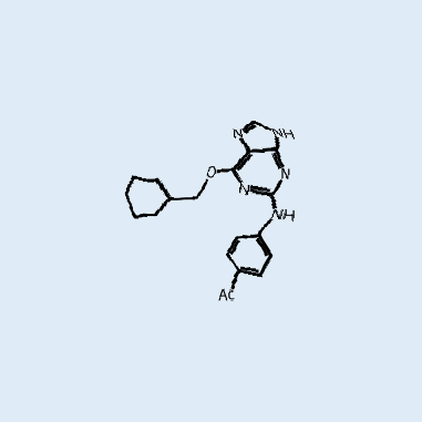 CC(=O)c1ccc(Nc2nc(OCC3CCCCC3)c3nc[nH]c3n2)cc1